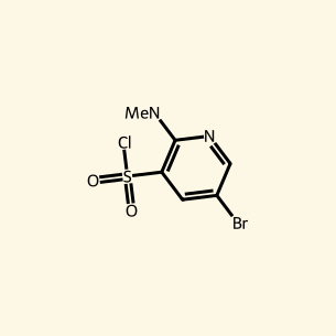 CNc1ncc(Br)cc1S(=O)(=O)Cl